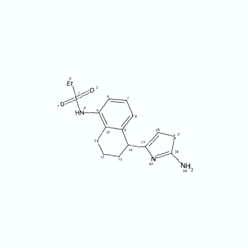 CCS(=O)(=O)Nc1cccc2c1CCCC2c1csc(N)n1